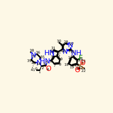 CC[C@H](C(=O)Nc1cccc2c(-c3nc(Nc4cccc(S(C)(=O)=O)c4F)ncc3C)c[nH]c12)N1CCN(C)C[C@H]1C